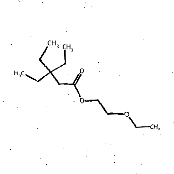 CCOCCOC(=O)CC(CC)(CC)CC